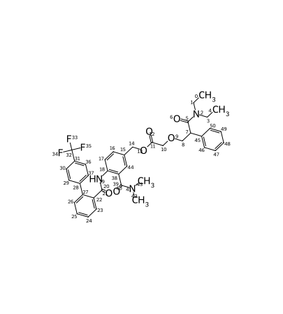 CCN(CC)C(=O)C(COCC(=O)OCc1ccc(NC(=O)c2ccccc2-c2ccc(C(F)(F)F)cc2)c(C(=O)N(C)C)c1)c1ccccc1